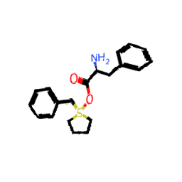 N[C@@H](Cc1ccccc1)C(=O)OS1(Cc2ccccc2)CCCC1